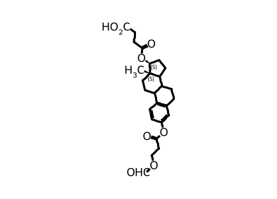 C[C@]12CCC3c4ccc(OC(=O)CCOC=O)cc4CCC3C1CC[C@@H]2OC(=O)CCC(=O)O